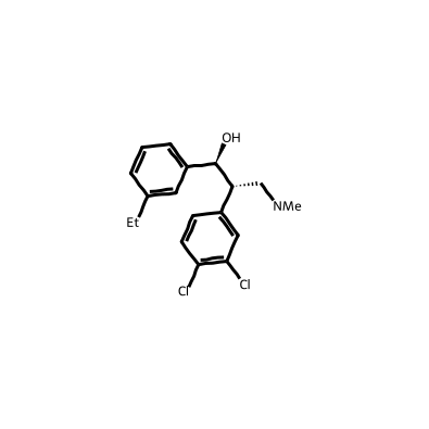 CCc1cccc([C@@H](O)[C@H](CNC)c2ccc(Cl)c(Cl)c2)c1